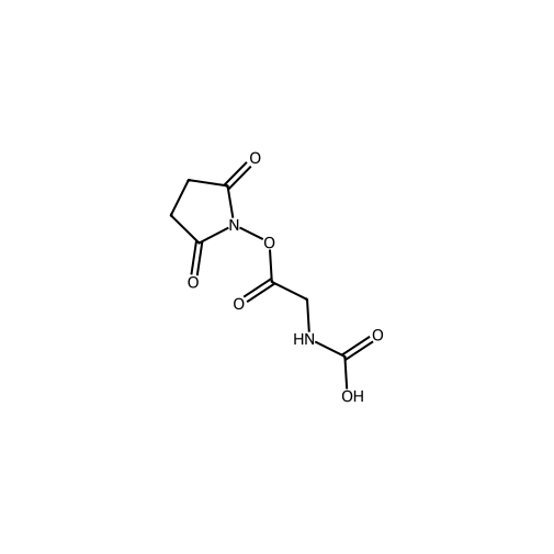 O=C(O)NCC(=O)ON1C(=O)CCC1=O